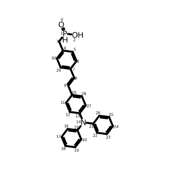 O=[PH](O)Cc1ccc(C=Cc2ccc(N(c3ccccc3)c3ccccc3)cc2)cc1